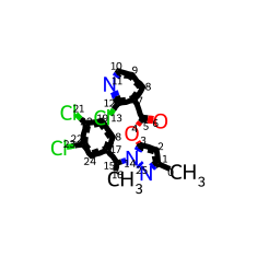 Cc1cc(OC(=O)c2cccnc2Cl)n(C(C)c2ccc(Cl)c(Cl)c2)n1